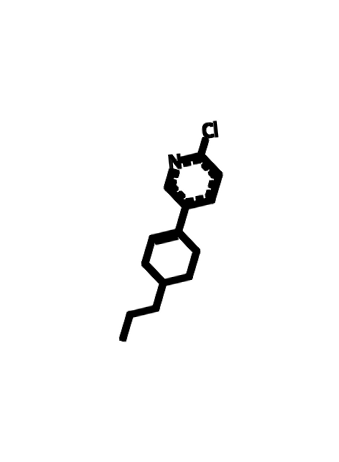 CCCC1CC=C(c2ccc(Cl)nc2)CC1